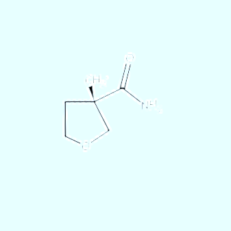 [CH2][C@]1(C(N)=O)CCOC1